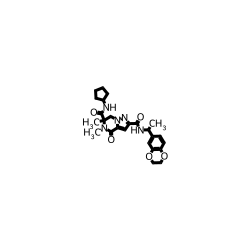 CC(NC(=O)c1cc2n(n1)CC(C)(C(=O)NC1CCCC1)N(C)C2=O)c1ccc2c(c1)OCCO2